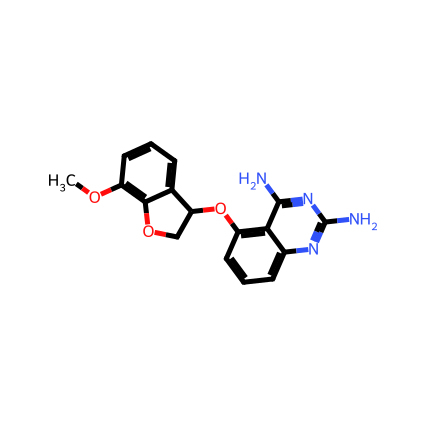 COc1cccc2c1OCC2Oc1cccc2nc(N)nc(N)c12